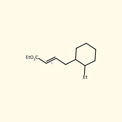 CCOC(=O)/C=C/CC1CCCCC1CC